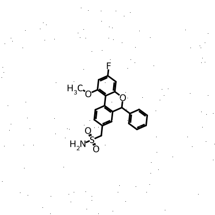 COc1cc(F)cc2c1-c1ccc(CS(N)(=O)=O)cc1C(c1ccccc1)O2